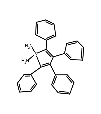 NS1(N)C(c2ccccc2)=C(c2ccccc2)C(c2ccccc2)=C1c1ccccc1